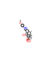 CCOc1ccc(-n2cc3c(n2)C=C2[C@@H](C)C[C@@H]4[C@H]([C@@H](O)C[C@@]5(C)[C@H]4CC[C@@]54OCOC45COCO5)[C@@]2(C)C3)cc1